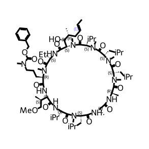 C/C=C/C[C@@H](C)[C@@H](O)[C@H]1C(=O)N[C@@H](CC)C(=O)N(C)[C@H](CCCN(C)C(=O)OCc2ccccc2)C(=O)N[C@@H]([C@H](C)COC)C(=O)N[C@@H](C(C)C)C(=O)N(C)[C@@H](CC(C)C)C(=O)N[C@@H](C)C(=O)N[C@H](C)C(=O)N(C)[C@@H](CC(C)C)C(=O)N(C)[C@@H](CC(C)C)C(=O)N(C)[C@@H](C(C)C)C(=O)N1C